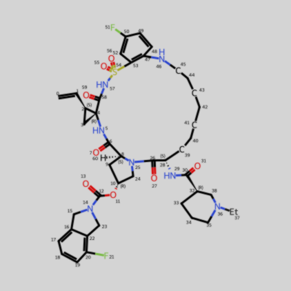 C=C[C@@H]1C[C@@]12NC(=O)[C@@H]1C[C@@H](OC(=O)N3Cc4cccc(F)c4C3)CN1C(=O)[C@@H](NC(=O)[C@@H]1CCCN(CC)C1)CCCCCCCNc1ccc(F)cc1S(=O)(=O)NC2=O